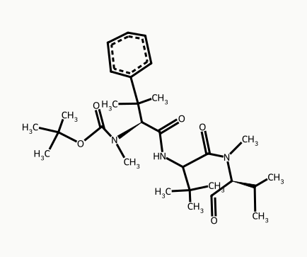 CC(C)[C@@H](C=O)N(C)C(=O)C(NC(=O)[C@@H](N(C)C(=O)OC(C)(C)C)C(C)(C)c1ccccc1)C(C)(C)C